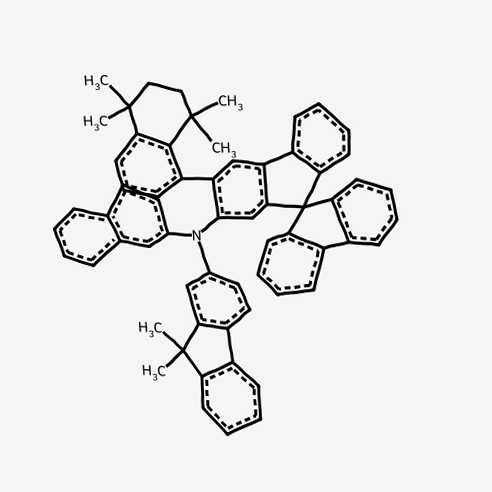 CC1(C)CCC(C)(C)c2c(-c3cc4c(cc3N(c3ccc5c(c3)C(C)(C)c3ccccc3-5)c3ccc5ccccc5c3)C3(c5ccccc5-c5ccccc53)c3ccccc3-4)cccc21